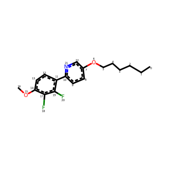 CCCCCCOc1ccc(-c2ccc(OC)c(F)c2F)nc1